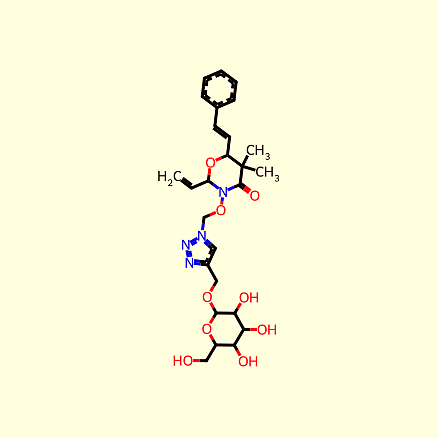 C=CC1OC(/C=C/c2ccccc2)C(C)(C)C(=O)N1OCn1cc(COC2OC(CO)C(O)C(O)C2O)nn1